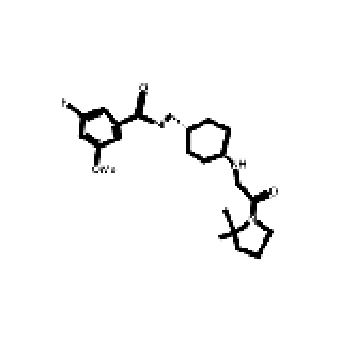 COc1cc(F)cc(C(=O)NC[C@H]2CC[C@H](NCC(=O)N3CCCC3(C)C)CC2)c1